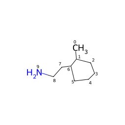 CC1CCCCC1CCN